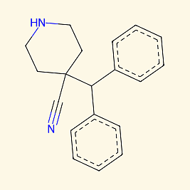 N#CC1(C(c2ccccc2)c2ccccc2)CCNCC1